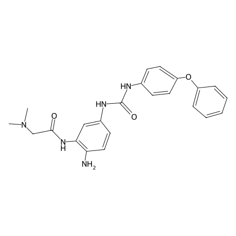 CN(C)CC(=O)Nc1cc(NC(=O)Nc2ccc(Oc3ccccc3)cc2)ccc1N